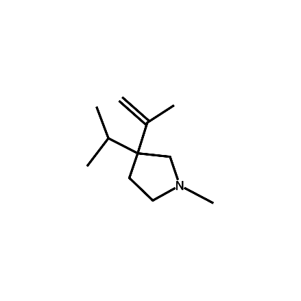 C=C(C)C1(C(C)C)CCN(C)C1